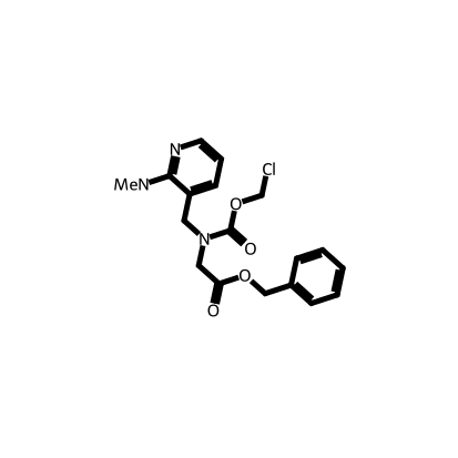 CNc1ncccc1CN(CC(=O)OCc1ccccc1)C(=O)OCCl